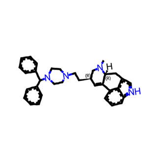 CN1C[C@H](CCN2CCN(C(c3ccccc3)c3ccccc3)CC2)C=C2c3cccc4[nH]cc(c34)C[C@H]21